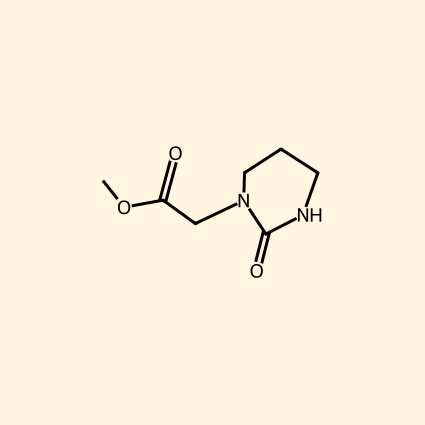 COC(=O)CN1CCCNC1=O